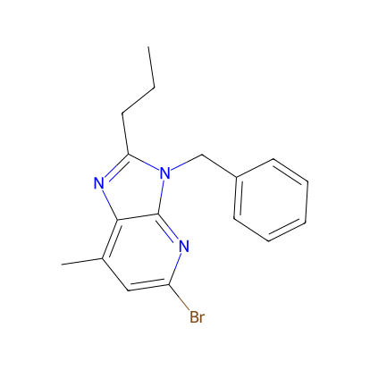 CCCc1nc2c(C)cc(Br)nc2n1Cc1ccccc1